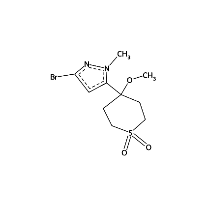 COC1(c2cc(Br)nn2C)CCS(=O)(=O)CC1